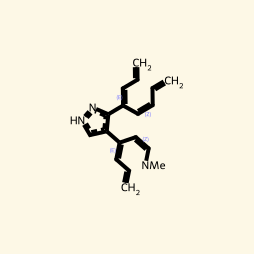 C=C/C=C\C(=C/C=C)c1n[nH]cc1C(/C=C\NC)=C/C=C